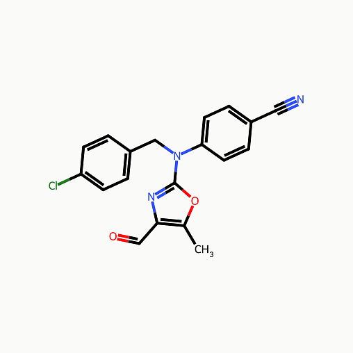 Cc1oc(N(Cc2ccc(Cl)cc2)c2ccc(C#N)cc2)nc1C=O